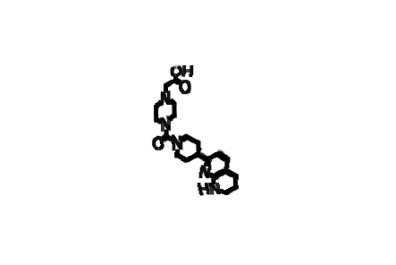 O=C(O)CN1CCN(C(=O)N2CCC(c3ccc4c(n3)NCCC4)CC2)CC1